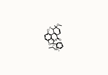 COC1(C)C=CC(C(N)=O)=C(c2c(Cl)ccc3c2C[C@](c2ccccc2)(C(C)N)O3)C1F